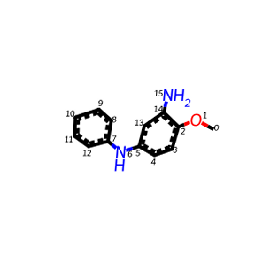 COc1ccc(Nc2ccccc2)cc1N